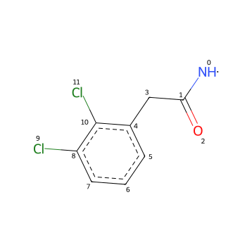 [NH]C(=O)Cc1cccc(Cl)c1Cl